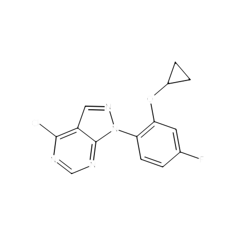 Fc1ccc(-n2ncc3c(Cl)ncnc32)c(OC2CC2)c1